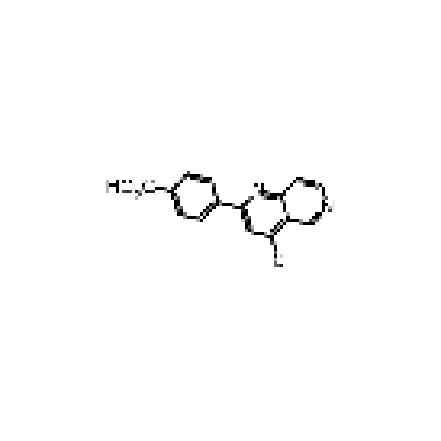 O=C(O)c1ccc(-c2cc(Cl)c3cnccc3n2)cc1